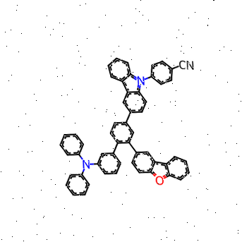 N#Cc1ccc(-n2c3ccccc3c3cc(-c4ccc(-c5cccc(N(c6ccccc6)c6ccccc6)c5)c(-c5ccc6oc7ccccc7c6c5)c4)ccc32)cc1